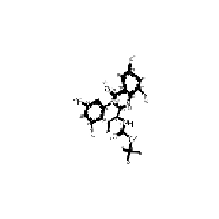 CCC(NC(=O)OC(C)(C)C)c1nc2c(F)cc(F)cc2c(=O)n1-c1cc(F)cc(F)c1